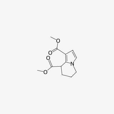 COC(=O)c1ccn2c1C(C(=O)OC)CCC2